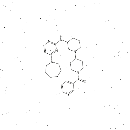 O=C(c1ccccc1)N1CCC(N2CCCC(Nc3nccc(N4CCCCCC4)n3)C2)CC1